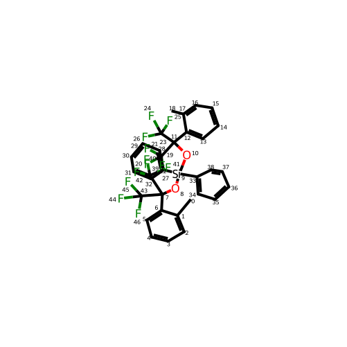 Cc1ccccc1C(O[Si](OC(c1ccccc1C)(C(F)(F)F)C(F)(F)F)(c1ccccc1)c1ccccc1)(C(F)(F)F)C(F)(F)F